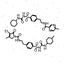 CCC1=C(C)CN(C(=O)NCCc2ccc(S(=O)(=O)NC(=O)NC3CCC(C)CC3)cc2)C1=O.Cc1cnc(C(=O)NCCc2ccc(S(=O)(=O)NC(=O)NC3CCCCC3)cc2)cn1